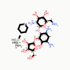 C1CC[Se]CC1.CC(=O)O.NC[C@H]1O[C@H](O[C@H]2[C@H](O[C@@H]3O[C@H](CO)[C@@H](O)[C@H]3O)C(O)[C@H](N)C[C@@H]2N)[C@H](N)[C@@H](O)[C@@H]1O.[NaH].[PbH2]